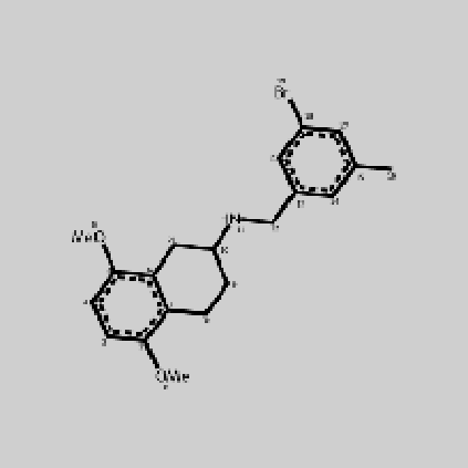 COc1ccc(OC)c2c1CCC(NCc1cc(C)cc(Br)c1)C2